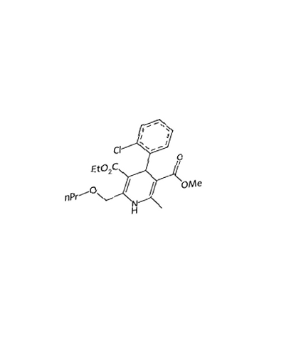 CCCOCC1=C(C(=O)OCC)C(c2ccccc2Cl)C(C(=O)OC)=C(C)N1